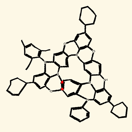 Cc1cc(C)c(N2c3cc4c(cc3B3c5ccccc5Oc5cc(C6CCCCC6)cc2c53)B2c3cc5c(cc3Oc3cc(C6CCCCC6)cc(c32)O4)Nc2cc(C3CCCCC3)cc3c2B5c2ccccc2N3c2ccccc2)c(C)c1